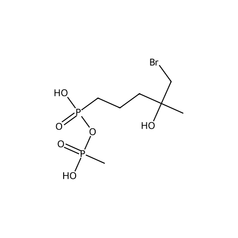 CC(O)(CBr)CCCP(=O)(O)OP(C)(=O)O